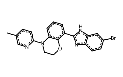 Cc1ccc(N2CCOc3c(-c4nc5ccc(Br)cc5[nH]4)cccc32)nc1